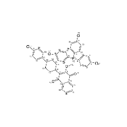 O=C1C(OC[PH](c2ccc(Cl)cc2)(c2ccc(Cl)cc2)c2ccc(Cl)cc2)=C(C2CCC(c3ccc(Cl)cc3)CC2)C(=O)c2ccccc21